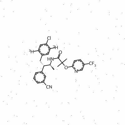 [3H]c1cc(C[C@@H](c2cccc(C#N)c2)[C@H](C)NC(=O)C(C)(C)Oc2ccc(C(F)(F)[18F])cn2)c([3H])cc1Cl